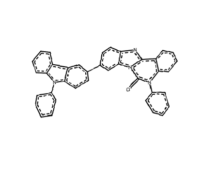 O=c1n(-c2ccccc2)c2ccccc2c2nc3ccc(-c4ccc5c(c4)c4ccccc4n5-c4ccccc4)cc3n12